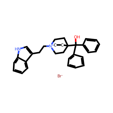 OC(c1ccccc1)(c1ccccc1)C12CC[N+](CCc3c[nH]c4ccccc34)(CC1)CC2.[Br-]